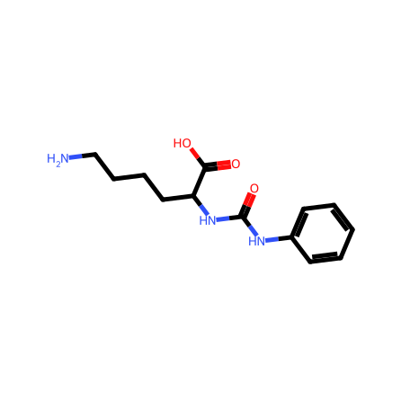 NCCCCC(NC(=O)Nc1ccccc1)C(=O)O